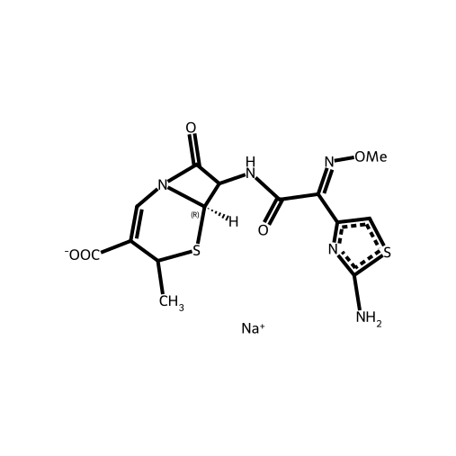 CON=C(C(=O)NC1C(=O)N2C=C(C(=O)[O-])C(C)S[C@H]12)c1csc(N)n1.[Na+]